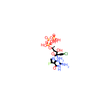 C[C@H](OP(=O)(O)OP(=O)(O)OP(=O)(O)O)[C@H]1O[C@@H](n2cc(F)c3c(=O)[nH]c(N)nc32)C(N)(C#CCl)[C@H]1O